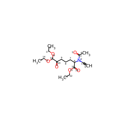 C#CN(C(C)=O)C(CCCC(=O)C(OCC)OCC)C(=O)OCC